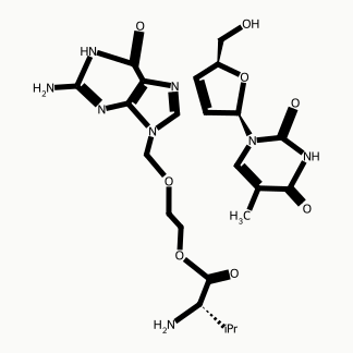 CC(C)[C@H](N)C(=O)OCCOCn1cnc2c(=O)[nH]c(N)nc21.Cc1cn([C@H]2C=C[C@@H](CO)O2)c(=O)[nH]c1=O